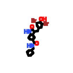 O=C1Nc2ccc(C(=O)NCc3ccccc3)cc2/C1=C/c1cc(Br)c(O)c(Br)c1